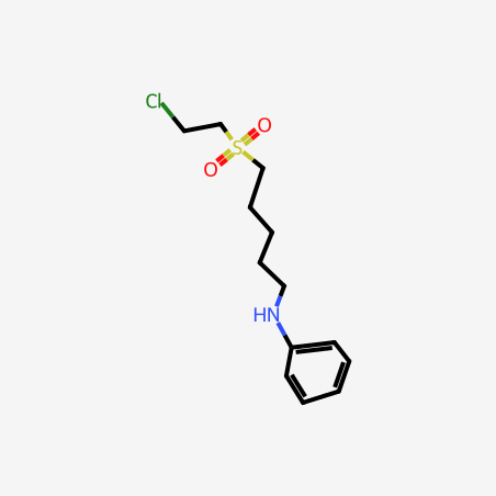 O=S(=O)(CCCl)CCCCCNc1ccccc1